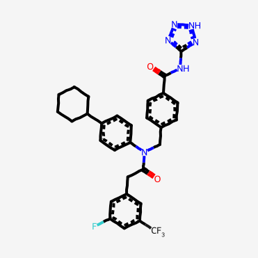 O=C(Nc1nn[nH]n1)c1ccc(CN(C(=O)Cc2cc(F)cc(C(F)(F)F)c2)c2ccc(C3CCCCC3)cc2)cc1